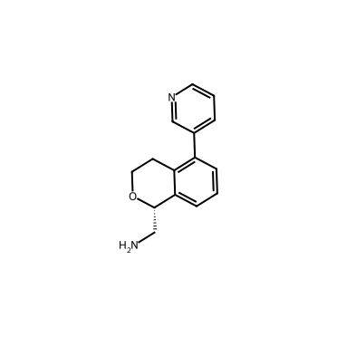 NC[C@@H]1OCCc2c(-c3cccnc3)cccc21